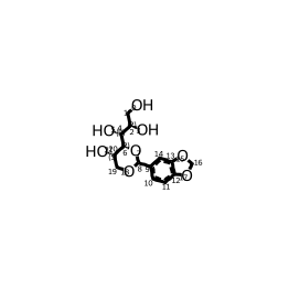 OC[C@@H](O)[C@@H](O)[C@@H]1OC(c2ccc3c(c2)OCO3)OC[C@@H]1O